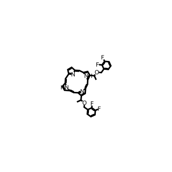 CC(OCc1cccc(F)c1F)C1=Cc2cc3[nH]c(cc4nc(cc5ccc(cc1n2)[nH]5)C=C4)cc3C(C)OCc1cccc(F)c1F